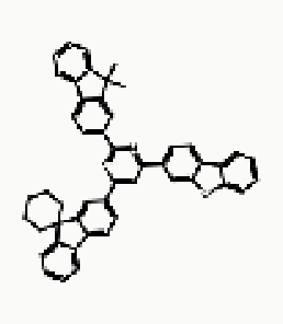 CC1(C)c2ccccc2-c2ccc(-c3nc(-c4ccc5c(c4)C4(CCCCC4)c4ccccc4-5)cc(-c4ccc5c(c4)oc4ccccc45)n3)cc21